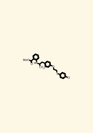 COC(=O)c1ccccc1NC(Cc1ccc(OCCSc2ccc(Cl)cc2)cc1)C(=O)O